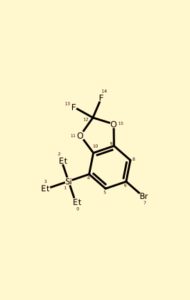 CC[Si](CC)(CC)c1cc(Br)cc2c1OC(F)(F)O2